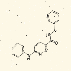 O=C(NCc1ccccc1)c1ccc(Nc2ccccc2)nn1